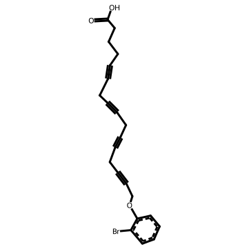 O=C(O)CCCC#CCC#CCC#CCC#CCOc1ccccc1Br